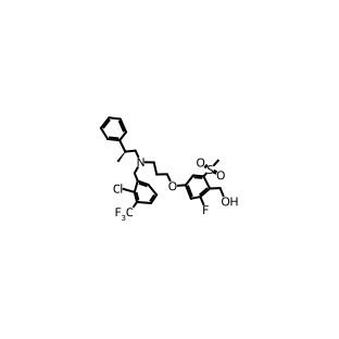 C[C@H](CN(CCCOc1cc(F)c(CO)c(S(C)(=O)=O)c1)Cc1cccc(C(F)(F)F)c1Cl)c1ccccc1